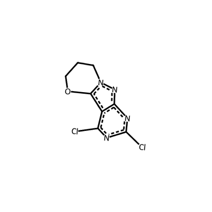 Clc1nc(Cl)c2c3n(nc2n1)CCCO3